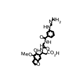 COc1c(O)c(C(CC(=O)O)NC(=O)CNC(=O)c2cccc(NC=NN)c2)cc2occc12